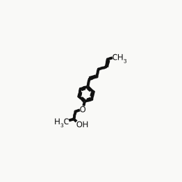 CC=CCC=Cc1ccc(OCC(C)O)cc1